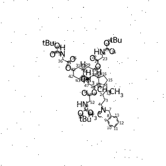 CC(CCCN(C)Cc1ccccc1)[C@H]1CC[C@H]2[C@@H]3[C@H](OC(=O)CNC(=O)OC(C)(C)C)C[C@@H]4C[C@H](OC(=O)CNC(=O)OC(C)(C)C)CC[C@]4(C)[C@H]3C[C@H](OC(=O)CNC(=O)OC(C)(C)C)[C@]12C